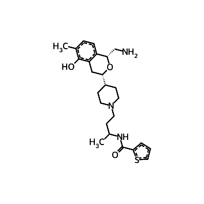 Cc1ccc2c(c1O)C[C@@H](C1CCN(CCC(C)NC(=O)c3cccs3)CC1)O[C@H]2CN